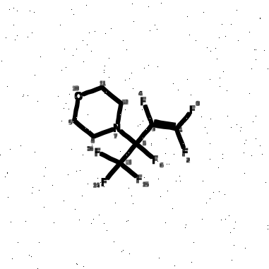 FC(F)=C(F)C(F)(N1CCOCC1)C(F)(F)F